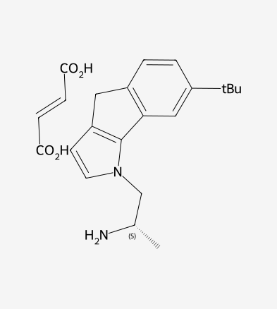 C[C@H](N)Cn1ccc2c1-c1cc(C(C)(C)C)ccc1C2.O=C(O)C=CC(=O)O